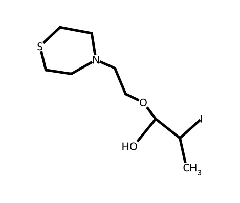 CC(I)C(O)OCCN1CCSCC1